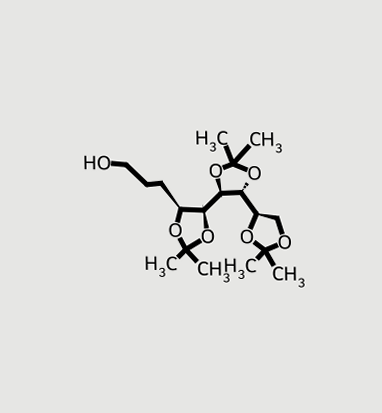 CC1(C)O[C@H]([C@H]2OC(C)(C)O[C@H]2CCCO)[C@@H]([C@H]2COC(C)(C)O2)O1